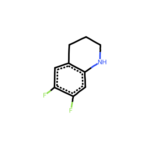 Fc1cc2c(cc1F)NCCC2